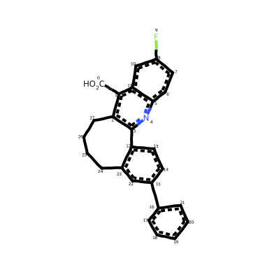 O=C(O)c1c2c(nc3ccc(F)cc13)-c1ccc(-c3ccccc3)cc1CCCC2